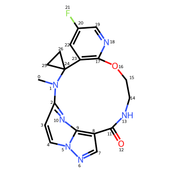 CN1c2ccn3ncc(c3n2)C(=O)NCCOc2ncc(F)cc2C12CC2